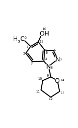 Cc1ccc2c(cnn2C2CCCCO2)c1O